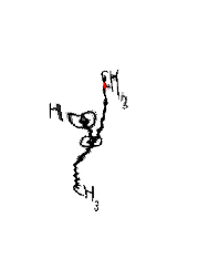 CCCCCCCCCCCCCCCC(=O)OC(CCCCCCCCCCCCC)CCCC(=O)O